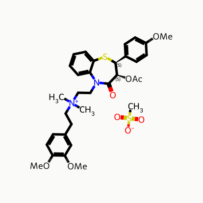 COc1ccc([C@@H]2Sc3ccccc3N(CC[N+](C)(C)CCc3ccc(OC)c(OC)c3)C(=O)[C@@H]2OC(C)=O)cc1.CS(=O)(=O)[O-]